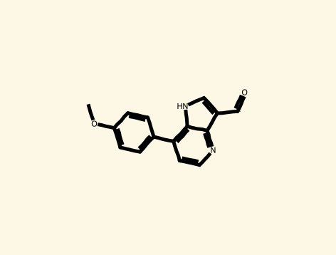 COc1ccc(-c2ccnc3c([C]=O)c[nH]c23)cc1